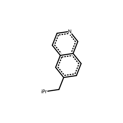 CC(C)Cc1ccc2cnccc2c1